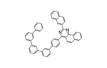 c1ccc(-c2cccc(-c3cccc(-c4cccc(-c5ccc(-c6nc(-c7ccc8ccccc8c7)nc7c6ccc6ccccc67)cc5)c4)c3)c2)cc1